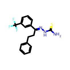 NC(=S)N/N=C(\CCc1ccccc1)c1cccc(C(F)(F)F)c1